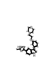 Cc1nc(-c2ccc3[nH]nc(-c4cccc(OCCN5CCOCC5)c4)c3c2)n[nH]1